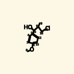 COc1ccc(C(O)C(C)CCl)cc1